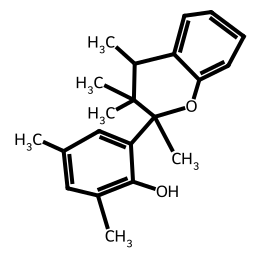 Cc1cc(C)c(O)c(C2(C)Oc3ccccc3C(C)C2(C)C)c1